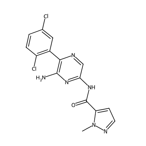 Cn1nccc1C(=O)Nc1cnc(-c2cc(Cl)ccc2Cl)c(N)n1